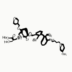 N=Cc1c(NCCCCN2CC[C@@H](O)C2)cccc1-c1cccc(COc2cc(OCC3CCOCC3)c(CN[C@@H](CO)C(=O)O)cc2Cl)c1Br